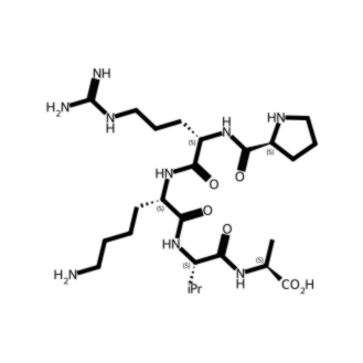 CC(C)[C@H](NC(=O)[C@H](CCCCN)NC(=O)[C@H](CCCNC(=N)N)NC(=O)[C@@H]1CCCN1)C(=O)N[C@@H](C)C(=O)O